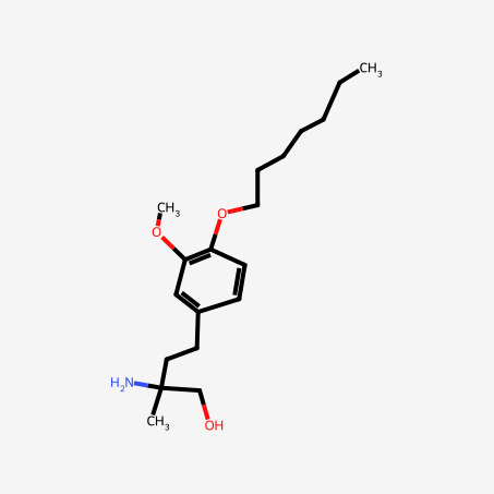 CCCCCCCOc1ccc(CCC(C)(N)CO)cc1OC